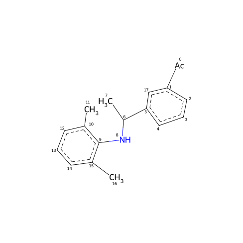 CC(=O)c1cccc(C(C)Nc2c(C)cccc2C)c1